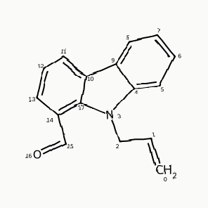 C=CCn1c2ccccc2c2cccc(C=O)c21